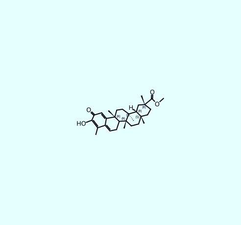 COC(=O)[C@]1(C)CC[C@]2(C)CC[C@]3(C)C4CC=C5C(=CC(=O)C(O)=C5C)[C@]4(C)CC[C@@]3(C)[C@@H]2C1